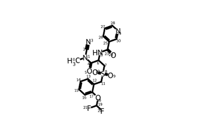 CN(C#N)C(=O)C(CS(=O)(=O)Cc1ccccc1OC(F)F)NC(=O)c1cccnc1